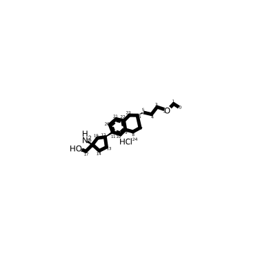 CCOCCC[C@@H]1CCc2cc([C@H]3CC[C@](N)(CO)C3)ccc2C1.Cl